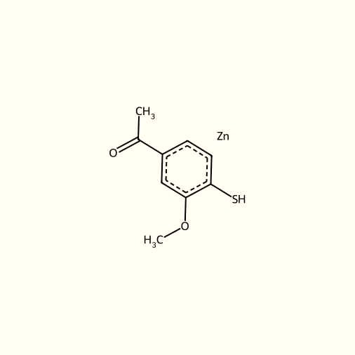 COc1cc(C(C)=O)ccc1S.[Zn]